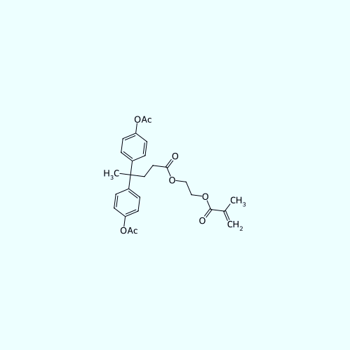 C=C(C)C(=O)OCCOC(=O)CCC(C)(c1ccc(OC(C)=O)cc1)c1ccc(OC(C)=O)cc1